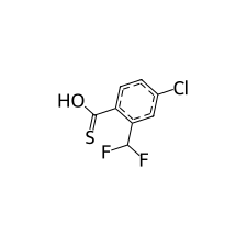 OC(=S)c1ccc(Cl)cc1C(F)F